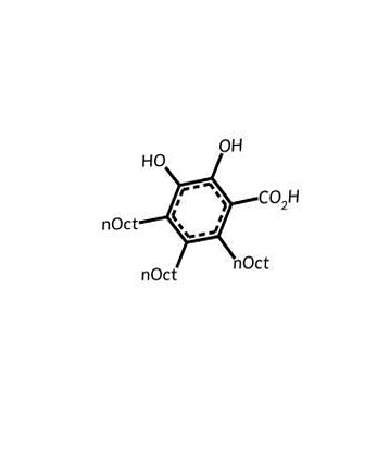 CCCCCCCCc1c(O)c(O)c(C(=O)O)c(CCCCCCCC)c1CCCCCCCC